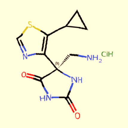 Cl.NC[C@]1(c2ncsc2C2CC2)NC(=O)NC1=O